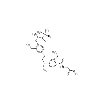 CCC(CCc1ccc(OC(C)C(O)C(C)(C)C)c(CN)c1)c1ccc(C(=O)NCC(=O)OC)c(CN)c1